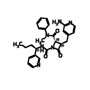 CCC[C@@H](NC(=O)N1C(=O)[C@H](Cc2ccnc(N)c2)[C@H]1C(=O)N(C)c1ccccc1)c1cccnc1